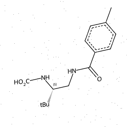 Cc1ccc(C(=O)NC[C@@H](NC(=O)O)C(C)(C)C)cc1